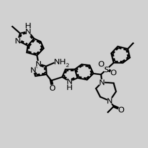 CC(=O)N1CCN(C(c2ccc3cc(C(=O)c4cnn(-c5ccc6[nH]c(C)nc6c5)c4N)[nH]c3c2)S(=O)(=O)c2ccc(C)cc2)CC1